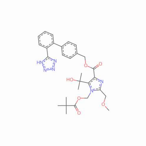 COCc1nc(C(=O)OCc2ccc(-c3ccccc3-c3nnn[nH]3)cc2)c(C(C)(C)O)n1COC(=O)C(C)(C)C